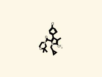 Cc1c(-c2ccc(Cl)cc2)c(C(=O)N2CCOC(C)(C)C2)n(CC2CC2)c1C(F)(F)F